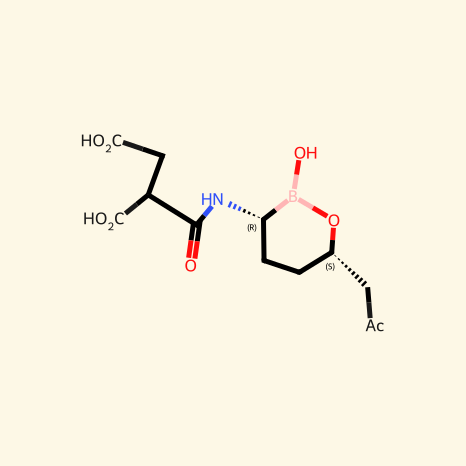 CC(=O)C[C@@H]1CC[C@H](NC(=O)C(CC(=O)O)C(=O)O)B(O)O1